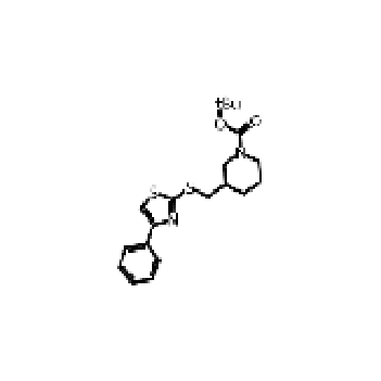 CC(C)(C)OC(=O)N1CCCC(CSc2nc(-c3ccccc3)cs2)C1